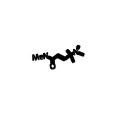 CNC(=O)/C=C/C(C)(C)N(C)C